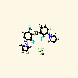 Fc1ccc(-n2cccc2)c(F)[c]1[Ti+2][c]1c(F)ccc(-n2cccc2)c1F.[Cl-].[Cl-]